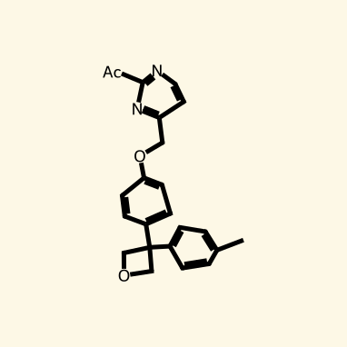 CC(=O)c1nccc(COc2ccc(C3(c4ccc(C)cc4)COC3)cc2)n1